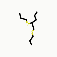 CCCSCC(CCC)SCCC